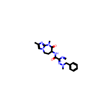 C=N/C(=N\N(C)Cc1ccccc1)C(=O)NC1CCn2cc(C)nc2N(C)C1=O